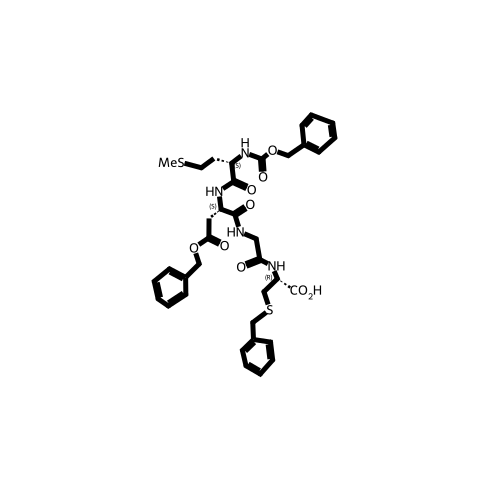 CSCC[C@H](NC(=O)OCc1ccccc1)C(=O)N[C@@H](CC(=O)OCc1ccccc1)C(=O)NCC(=O)N[C@@H](CSCc1ccccc1)C(=O)O